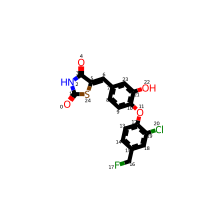 O=C1NC(=O)/C(=C/c2ccc(Oc3ccc(CF)cc3Cl)c(O)c2)S1